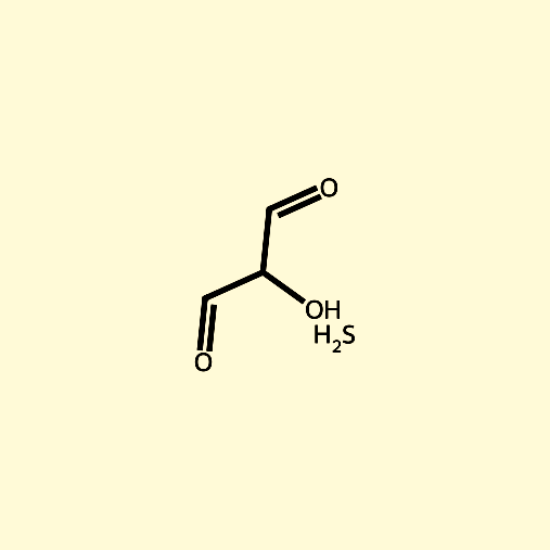 O=CC(O)C=O.S